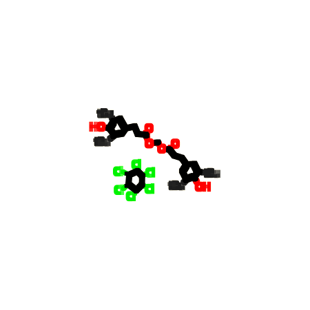 CC(C)(C)c1cc(CCC(=O)OCOC(=O)CCc2cc(C(C)(C)C)c(O)c(C(C)(C)C)c2)cc(C(C)(C)C)c1O.Cl[C@H]1[C@H](Cl)[C@@H](Cl)[C@@H](Cl)[C@H](Cl)[C@H]1Cl